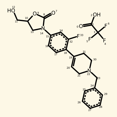 O=C(O)C(F)(F)F.O=C1OC(CO)CN1c1ccc(C2=CCN(Cc3ccccc3)CC2)c(F)c1